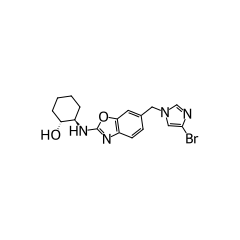 O[C@@H]1CCCC[C@H]1Nc1nc2ccc(Cn3cnc(Br)c3)cc2o1